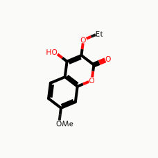 CCOc1c(O)c2ccc(OC)cc2oc1=O